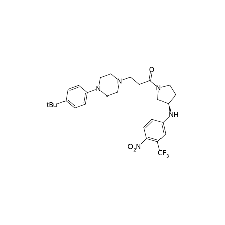 CC(C)(C)c1ccc(N2CCN(CCC(=O)N3CC[C@@H](Nc4ccc([N+](=O)[O-])c(C(F)(F)F)c4)C3)CC2)cc1